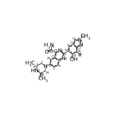 C[C@@H]1CN(c2ccc3nc(-c4cc5cn(C)nc5c(F)c4O)nc(C(N)=O)c3c2)C[C@@H](C)N1